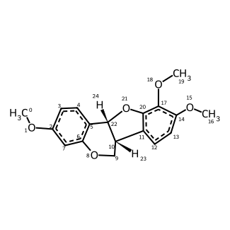 COc1ccc2c(c1)OC[C@H]1c3ccc(OC)c(OC)c3O[C@@H]21